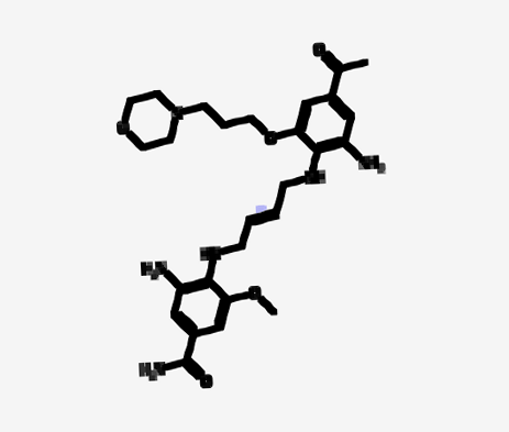 COc1cc(C(N)=O)cc(N)c1NC/C=C/CNc1c(N)cc(C(C)=O)cc1OCCCN1CCOCC1